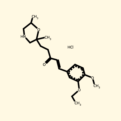 CCOc1cc(/C=C/C(=O)CCC2(C)CNCC(C)O2)ccc1OC.Cl